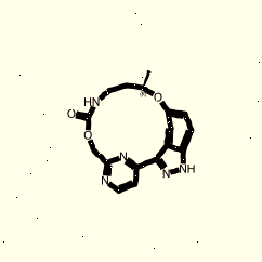 C[C@@H]1CCNC(=O)OCc2nccc(n2)-c2n[nH]c3ccc(cc23)O1